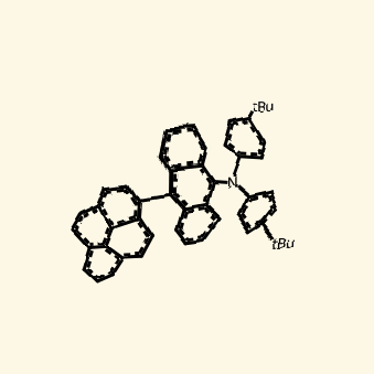 CC(C)(C)c1ccc(N(c2ccc(C(C)(C)C)cc2)c2c3ccccc3c(-c3ccc4ccc5cccc6ccc3c4c56)c3ccccc23)cc1